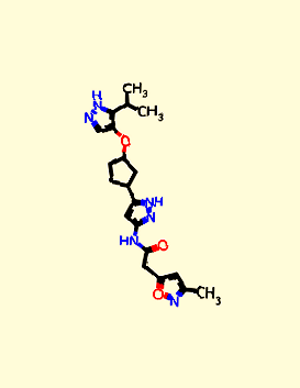 Cc1cc(CC(=O)Nc2cc(C3CCC(Oc4cn[nH]c4C(C)C)C3)[nH]n2)on1